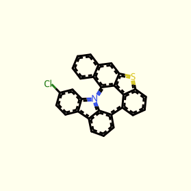 Clc1ccc2c3cccc4c5cccc6sc7cc8ccccc8c(c7c65)n(c2c1)c43